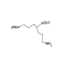 CCCCCCCCCCCCC(CCCN)CCCCCCCC